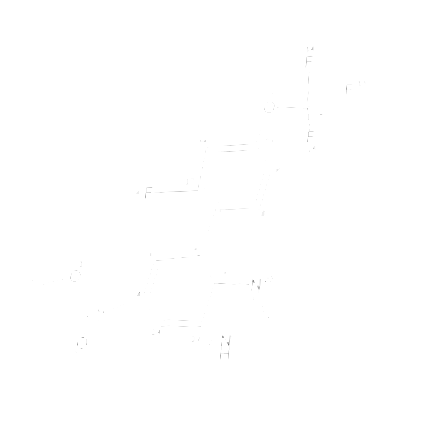 COC(=O)c1cc(-c2ccc(OC(F)(F)F)cc2F)c2nc[nH]c2c1